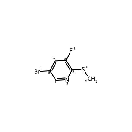 CSc1ncc(Br)cc1F